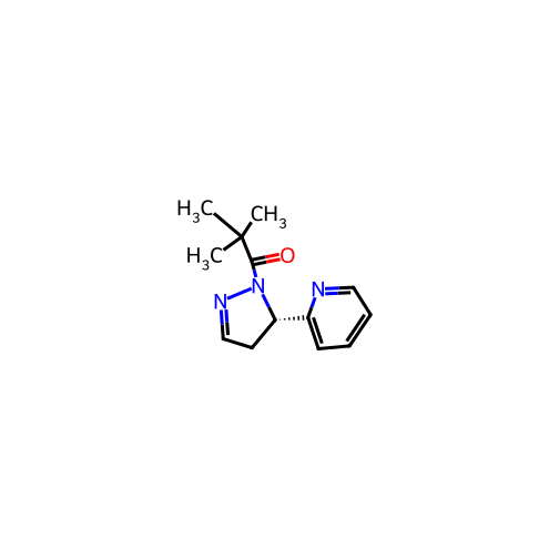 CC(C)(C)C(=O)N1N=CC[C@H]1c1ccccn1